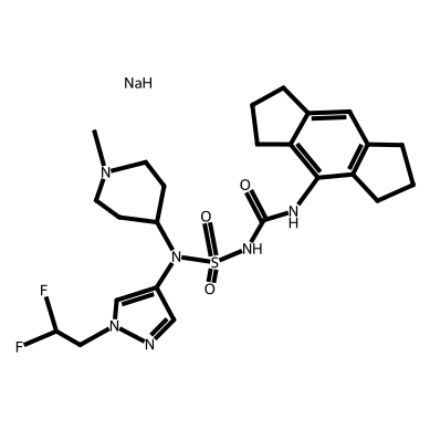 CN1CCC(N(c2cnn(CC(F)F)c2)S(=O)(=O)NC(=O)Nc2c3c(cc4c2CCC4)CCC3)CC1.[NaH]